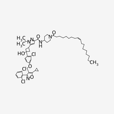 CCCCCCCC/C=C\CCCCCCCC(=O)N1CCC(NC(=O)c2cc(C3CC(O)(c4ccc(OCc5c(-c6c(Cl)cccc6Cl)noc5C5CC5)cc4Cl)C3)n(C(C)C)n2)CC1